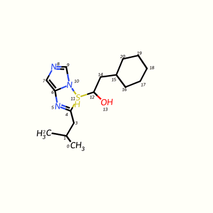 CC(C)CC1=Nc2cncn2[SH]1C(O)CC1CCCCC1